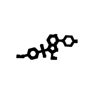 CCCCc1nc2c(N3CCNCC3)nccc2n1S(=O)(=O)c1ccc(OC)cc1